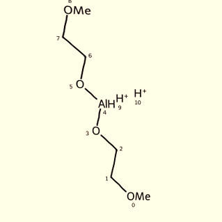 COCC[O][AlH][O]CCOC.[H+].[H+]